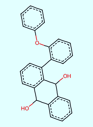 OC1c2ccccc2C(O)c2c(-c3ccccc3Oc3ccccc3)cccc21